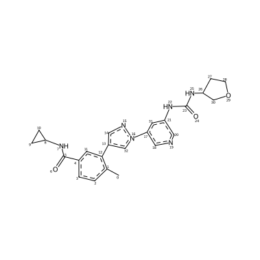 Cc1ccc(C(=O)NC2CC2)cc1-c1cnn(-c2cncc(NC(=O)NC3CCOC3)c2)c1